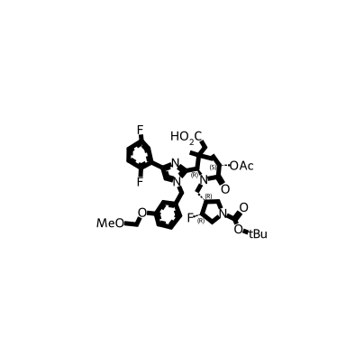 COCOc1cccc(Cn2cc(-c3cc(F)ccc3F)nc2[C@H](N(C[C@@H]2CN(C(=O)OC(C)(C)C)C[C@@H]2F)C(=O)[C@H](C)OC(C)=O)C(C)(C)CC(=O)O)c1